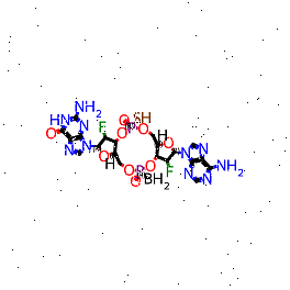 B[P@@]1(=O)OC[C@H]2O[C@@H](n3cnc4c(=O)[nH]c(N)nc43)C(F)C2O[P@](=O)(S)OC[C@H]2O[C@@H](n3cnc4c(N)ncnc43)C(F)C2O1